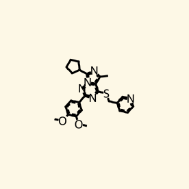 COc1ccc(-c2nc(SCc3cccnc3)c3c(C)nc(C4CCCC4)n3n2)cc1OC